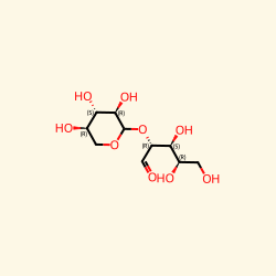 O=C[C@H](OC1OC[C@@H](O)[C@H](O)[C@H]1O)[C@@H](O)[C@H](O)CO